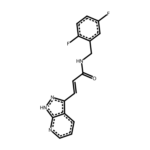 O=C(/C=C/c1n[nH]c2ncccc12)NCc1cc(F)ccc1F